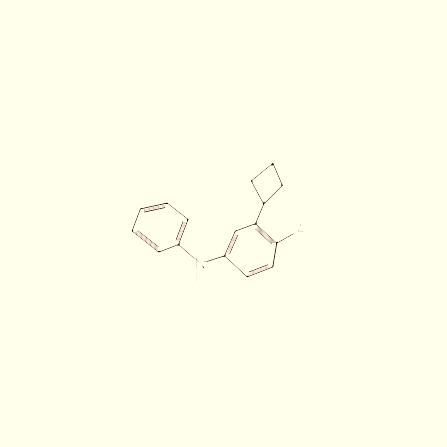 CC(=O)c1ccc(Nc2ccccc2)cc1C1CCC1